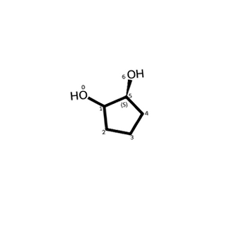 OC1CCC[C@@H]1O